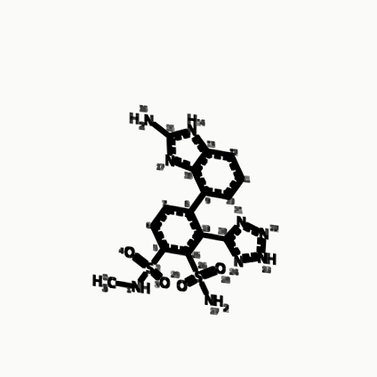 CNS(=O)(=O)c1ccc(-c2cccc3[nH]c(N)nc23)c(-c2nn[nH]n2)c1S(N)(=O)=O